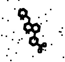 O=[N+]([O-])c1cccc(-c2cccc3c(Cc4ccccn4)ccnc23)c1